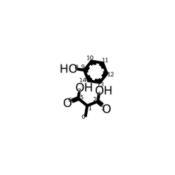 CC(C(=O)O)C(=O)O.Oc1ccccc1